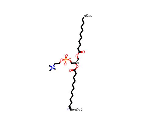 CCCCCCCC/C=C\CCCCCCCCCC(=O)O[C@H](COC(=O)CCCCCCCCCCCCCCCCCCC)COP(=O)([O-])OCC[N+](C)(C)C